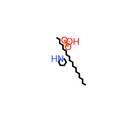 C1CCNCC1.CCCCCCCCCCCCCCC(CCC)S(=O)(=O)O